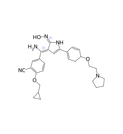 N#Cc1cc(/C(N)=C2\C=C(C3=CCC(OCCN4CCCC4)C=C3)N\C2=N\O)ccc1OCC1CC1